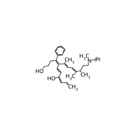 C=C\C=C(O)/C=C/C(=C(\CCCO)c1ccccc1)C(/C)=C/C=C(\C)C(C)CCN(C)C(C)C